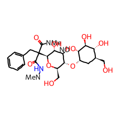 CNNC(=O)C(Cc1ccccc1)(C(=O)NC)[C@@H]1O[C@H](CO)[C@@H](O[C@H]2C[C@H](CO)[C@@H](O)[C@H](O)[C@H]2O)[C@H](N=O)[C@H]1O